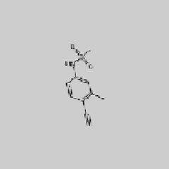 C#Cc1ccc(NS(C)(=O)=O)cc1C